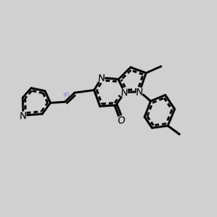 Cc1ccc(-n2c(C)cc3nc(/C=C/c4cccnc4)cc(=O)n32)cc1